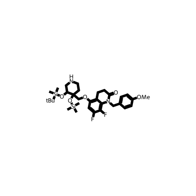 COc1ccc(CN2C(=O)CCc3c(OCC4(O[Si](C)(C)C)CCNCC4O[Si](C)(C)C(C)(C)C)cc(F)c(F)c32)cc1